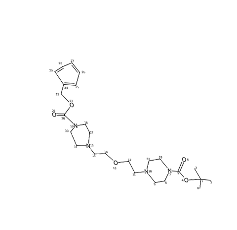 CC(C)(C)OC(=O)N1CCN(CCOCCN2CCN(C(=O)OCc3ccccc3)CC2)CC1